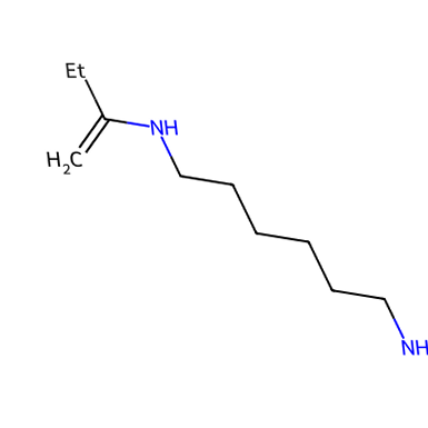 C=C(CC)NCCCCCCN